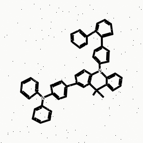 CC1(C)c2ccccc2N(c2ccc(-c3ccccc3-c3ccccc3)cc2)c2ccc(-c3ccc(N(c4ccccc4)c4ccccc4)cc3)cc21